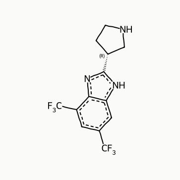 FC(F)(F)c1cc(C(F)(F)F)c2nc([C@@H]3CCNC3)[nH]c2c1